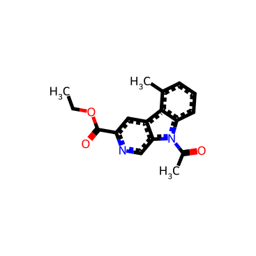 CCOC(=O)c1cc2c3c(C)cccc3n(C(C)=O)c2cn1